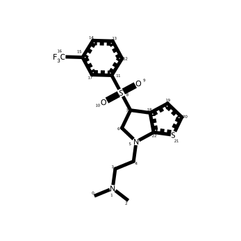 CN(C)CCN1CC(S(=O)(=O)c2cccc(C(F)(F)F)c2)c2ccsc21